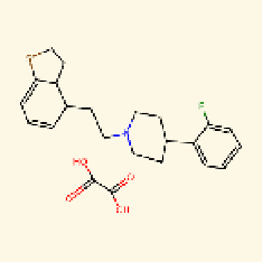 Fc1ccccc1C1CCN(CCC2C=CC=C3SCCC32)CC1.O=C(O)C(=O)O